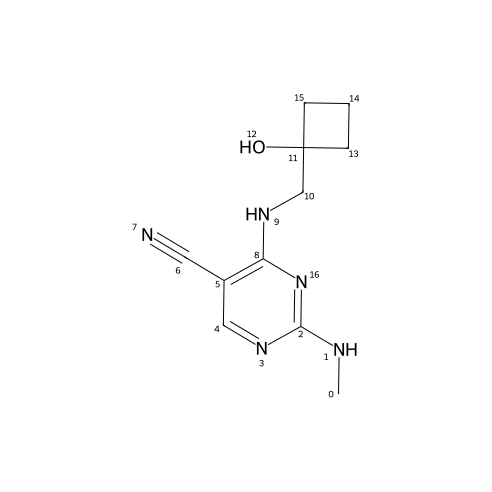 CNc1ncc(C#N)c(NCC2(O)CCC2)n1